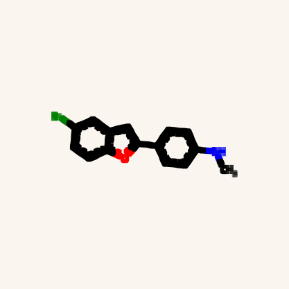 CNc1ccc(-c2cc3cc(Br)ccc3o2)cc1